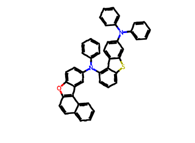 c1ccc(N(c2ccccc2)c2ccc3c(c2)sc2cccc(N(c4ccccc4)c4ccc5oc6ccc7ccccc7c6c5c4)c23)cc1